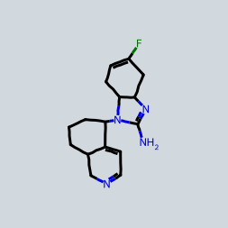 NC1=NC2CC(F)=CCC2N1C1CCCC2CN=CC=C21